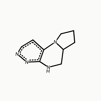 c1cc2c(nn1)NCC1CCCN21